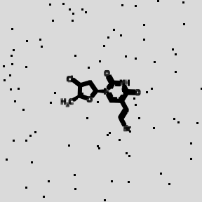 C[C@@H]1O[C@H](n2cc(/C=C/Br)c(=O)[nH]c2=O)CC1Cl